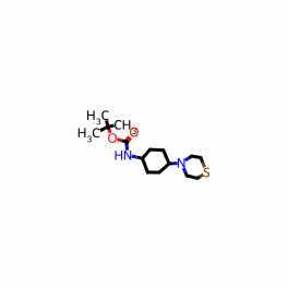 CC(C)(C)OC(=O)NC1CCC(N2CCSCC2)CC1